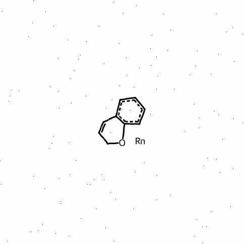 C1=Cc2ccccc2OC1.[Rn]